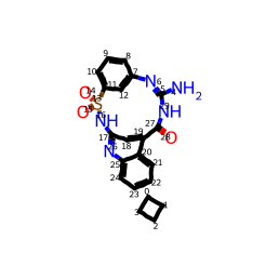 C1CCC1.NC1=Nc2cccc(c2)S(=O)(=O)Nc2cc(c3ccccc3n2)C(=O)N1